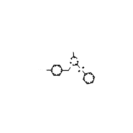 COc1ccc(Cn2nc(Br)nc2S(=O)(=O)c2ccccc2)cc1